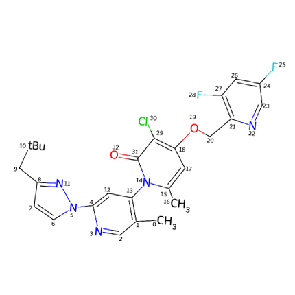 Cc1cnc(-n2ccc(CC(C)(C)C)n2)cc1-n1c(C)cc(OCc2ncc(F)cc2F)c(Cl)c1=O